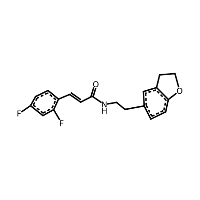 O=C(C=Cc1ccc(F)cc1F)NCCc1ccc2c(c1)CCO2